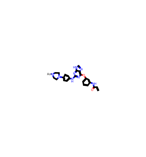 C=CC(=O)Nc1cccc(Oc2nc(Nc3ccc(N4CCN(C(C)=O)CC4)cc3)nc3[nH]cnc23)c1